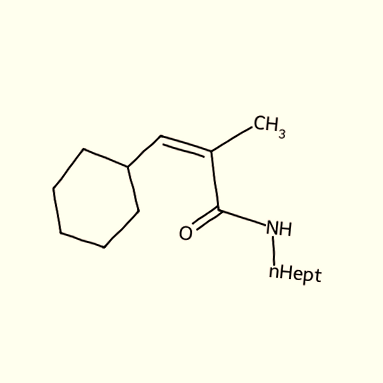 CCCCCCCNC(=O)C(C)=CC1CCCCC1